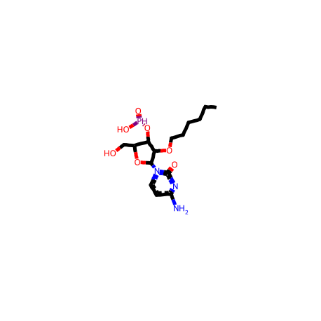 CCCCCCOC1C(O[PH](=O)O)C(CO)OC1n1ccc(N)nc1=O